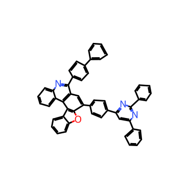 c1ccc(-c2ccc(-c3nc4ccccc4c4c3cc(-c3ccc(-c5cc(-c6ccccc6)nc(-c6ccccc6)n5)cc3)c3oc5ccccc5c34)cc2)cc1